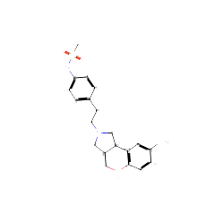 CS(=O)(=O)Nc1ccc(CCN2CC3COc4ccc(C#N)cc4C3C2)cc1